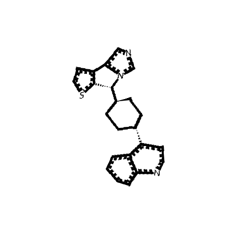 c1ccc2c(c1)nccc2[C@H]1CC[C@H]([C@@H]2c3sccc3-c3cncn32)CC1